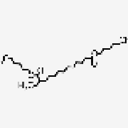 CCCCCCOC(=O)CCCCCCCCCCC(CC)C(=O)OCCCCCC